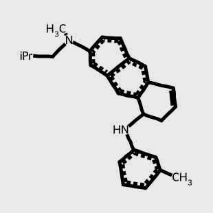 Cc1cccc(NC2CC=Cc3cc4ccc(N(C)CC(C)C)cc4cc32)c1